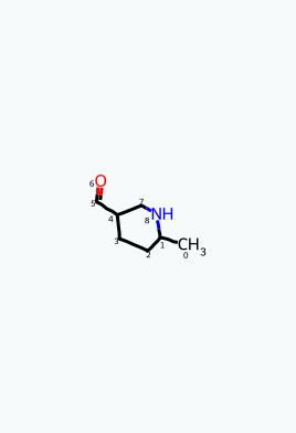 CC1CCC(C=O)CN1